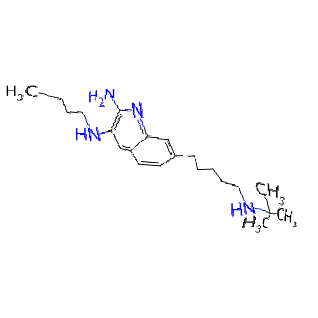 CCCCNc1cc2ccc(CCCCCNC(C)(C)C)cc2nc1N